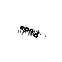 NC(=O)c1cccc(Nc2nccc(-c3ccc(N4CCCC4)c(N)c3)n2)c1